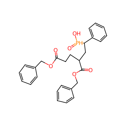 O=C(CCC(CC(c1ccccc1)[PH](=O)O)C(=O)OCc1ccccc1)OCc1ccccc1